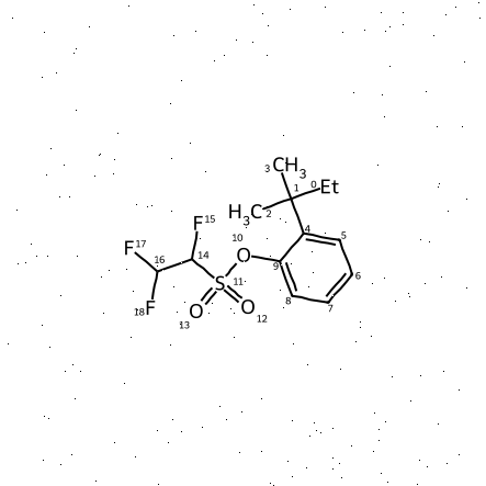 CCC(C)(C)c1ccccc1OS(=O)(=O)C(F)C(F)F